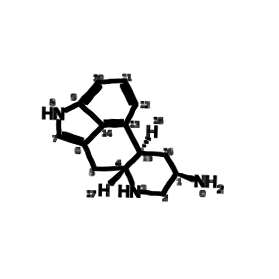 N[C@H]1CN[C@@H]2Cc3c[nH]c4cccc(c34)[C@H]2C1